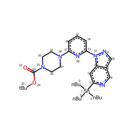 CCC[CH2][Sn]([CH2]CCC)([CH2]CCC)[c]1cc2c(cn1)cnn2-c1cccc(N2CCN(C(=O)OC(C)(C)C)CC2)n1